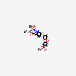 COC(=O)[C@H](Cc1ccc(O[C@H]2CC[C@H](OC3CCN(C(=O)OC(C)C)CC3)CC2)cc1)NC(=O)OC(C)(C)C